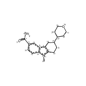 Cn1c2c(c3cc(C(N)=O)ccc31)CC(C1CCOCC1)CC2